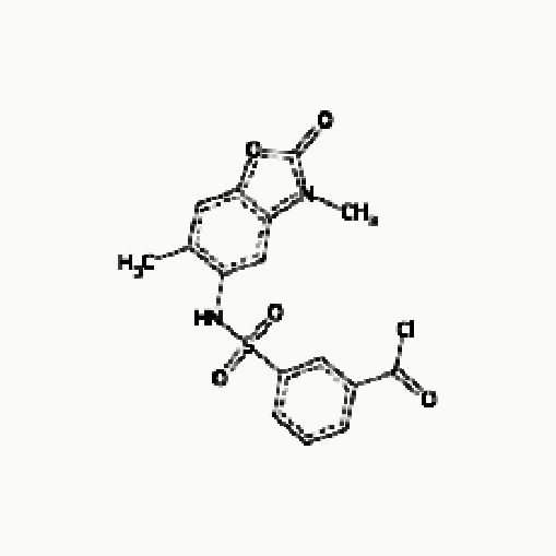 Cc1cc2oc(=O)n(C)c2cc1NS(=O)(=O)c1cccc(C(=O)Cl)c1